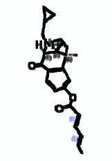 C/C=C/C=C/C(=O)Oc1ccc2c(c1)[C@]1(C)CCN(CC3CC3)[C@H](C2=O)[C@@H]1C